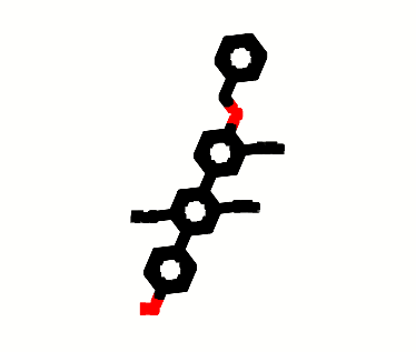 CNc1cc(-c2cc(OC)c(-c3ccc(O)cc3)cc2OC)ccc1OCc1ccccc1